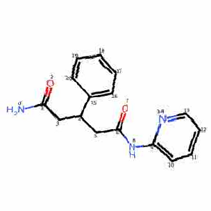 NC(=O)CC(CC(=O)Nc1ccccn1)c1ccccc1